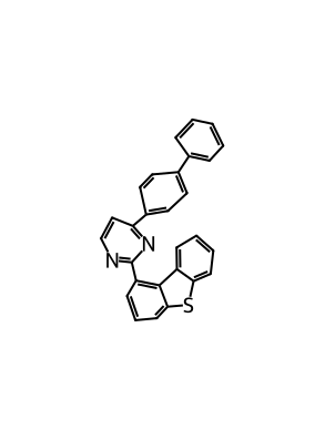 c1ccc(-c2ccc(-c3ccnc(-c4cccc5sc6ccccc6c45)n3)cc2)cc1